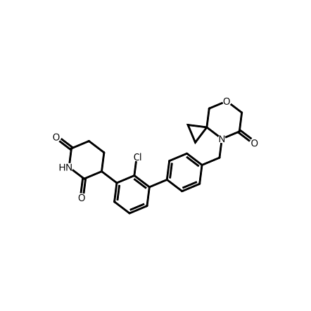 O=C1CCC(c2cccc(-c3ccc(CN4C(=O)COCC45CC5)cc3)c2Cl)C(=O)N1